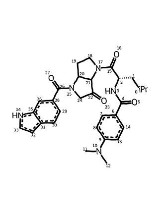 CC(C)C[C@H](NC(=O)c1ccc(N(C)C)cc1)C(=O)N1CCC2C1C(=O)CN2C(=O)c1ccc2cc[nH]c2c1